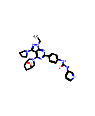 CCn1nc(N2CCCC2)c2c(N3CC4CCC(C3)O4)nc(-c3ccc(NC(=O)Nc4cccnc4)cc3)nc21